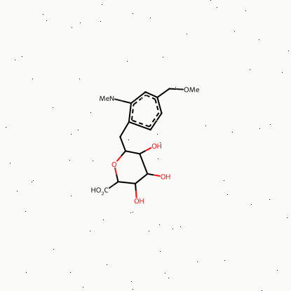 CNc1cc(COC)ccc1CC1OC(C(=O)O)C(O)C(O)C1O